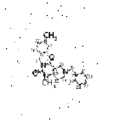 Cc1ccc(Cn2c(=O)c3c(n(C)c2=O)CCN(Cc2ccccc2)C3)cc1